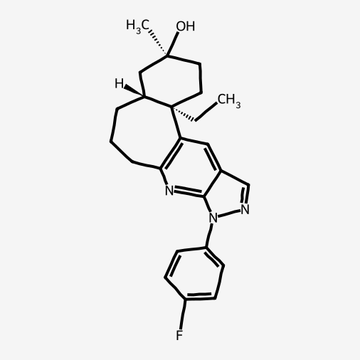 CC[C@@]12CC[C@](C)(O)C[C@H]1CCCc1nc3c(cnn3-c3ccc(F)cc3)cc12